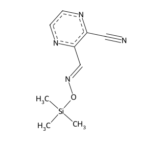 C[Si](C)(C)O/N=C/c1nccnc1C#N